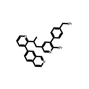 CC(C)Cc1ccc(-c2cc(CC(C)c3ncccc3-c3ccc4ccncc4c3)cnc2C(C)C)cc1